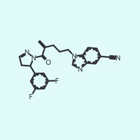 C=C(CCCn1cnc2cc(C#N)ccc21)C(=O)N1N=CCC1c1cc(F)cc(F)c1